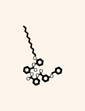 CCCCCCCCCCCCOc1ccccc1OC(=O)c1ccccc1OC(=O)c1ccccc1OC(=O)c1cccc(OCc2ccccc2)c1